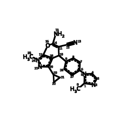 Cc1nccn1-c1ccc(C2C(C#N)=C(N)Oc3c2c(C2CC2)nn3C)cc1